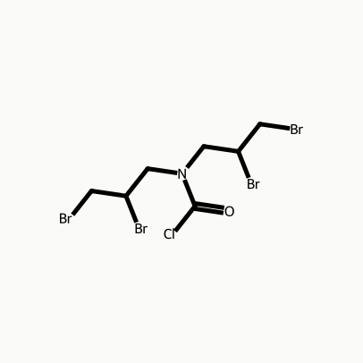 O=C(Cl)N(CC(Br)CBr)CC(Br)CBr